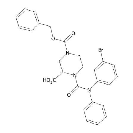 O=C(O)C1CN(C(=O)OCc2ccccc2)CCN1C(=O)N(c1ccccc1)c1cccc(Br)c1